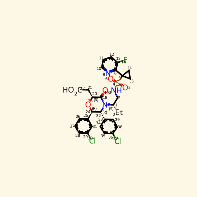 CC[C@@H](CNS(=O)(=O)C1(c2ncccc2F)CC1)N1C(=O)[C@H](CC(=O)O)O[C@H](c2cccc(Cl)c2)[C@H]1c1ccc(Cl)cc1